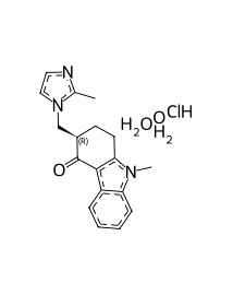 Cc1nccn1C[C@H]1CCc2c(c3ccccc3n2C)C1=O.Cl.O.O